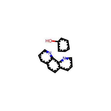 Oc1ccccc1.c1cnc2c(c1)ccc1cccnc12